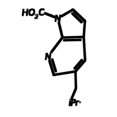 C[C](C)Cc1cnc2c(ccn2C(=O)O)c1